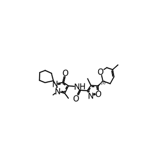 CC1=CC[C@@H](c2onc(C(=O)Nc3c(C)n(C)n(C4CCCCC4)c3=O)c2C)OC1